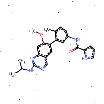 COc1cc2nc(NC(C)C)ncc2cc1-c1cc(NC(=O)c2ccc[nH]2)ccc1C